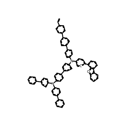 C=Cc1ccc(-c2ccc(-c3ccc(N(c4ccc(-c5ccc(N(c6ccc(-c7ccccc7)cc6)c6ccc(-c7ccccc7)cc6)cc5)cc4)c4ccc(-c5cccc6c5oc5ccccc56)cc4)cc3)cc2)cc1